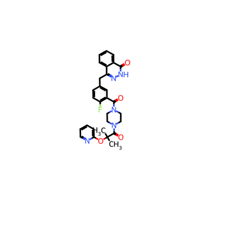 CC(C)(Oc1ccccn1)C(=O)N1CCN(C(=O)c2cc(Cc3n[nH]c(=O)c4ccccc34)ccc2F)CC1